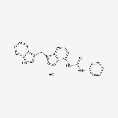 Cl.O=C(Nc1ccccc1)Nc1cccc2c1ccn2Cc1c[nH]c2ncccc12